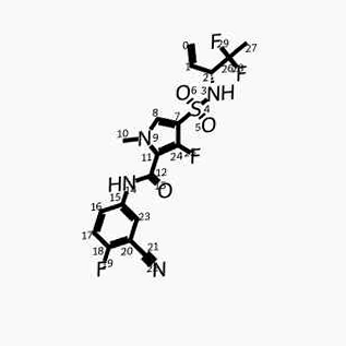 C=C[C@@H](NS(=O)(=O)c1cn(C)c(C(=O)Nc2ccc(F)c(C#N)c2)c1F)C(C)(F)F